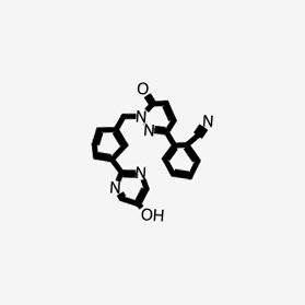 N#Cc1ccccc1-c1ccc(=O)n(Cc2cccc(-c3ncc(O)cn3)c2)n1